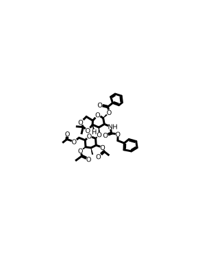 CC(=O)OCC1O[C@@H](O[C@@H]2C(NC(=O)OCc3ccccc3)[C@H](OC(=O)c3ccccc3)OC3COC(C)(C)O[C@H]32)C(OC(C)=O)[C@@H](C)[C@H]1OC(C)=O